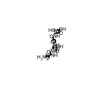 N=C(C(=O)NC[C@@H](CNc1ccc(C(=O)NCc2cc(=O)c(O)cn2O)cn1)N(C=O)S(=O)(=O)O)c1csc(N)n1